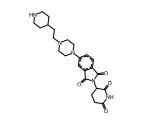 O=C1CCC(N2C(=O)c3ccc(N4CCN(CCC5CCNCC5)CC4)cc3C2=O)C(=O)N1